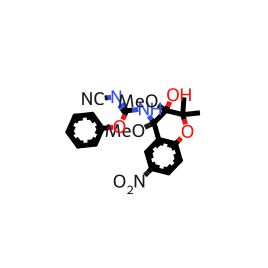 COC1(NC(=NC#N)Oc2ccccc2)c2cc([N+](=O)[O-])ccc2OC(C)(C)C1(O)OC